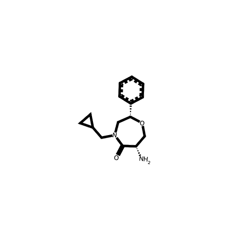 N[C@H]1CO[C@@H](c2ccccc2)CN(CC2CC2)C1=O